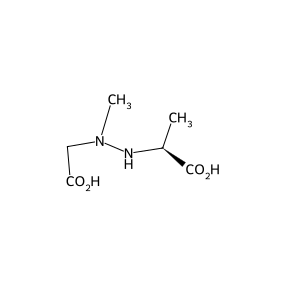 C[C@H](NN(C)CC(=O)O)C(=O)O